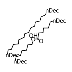 CCCCCCCCCCCCCCCCCC(O)CCCCCCCCCCCCCCCC.CCCCCCCCCCCCCCCCOC(=O)CCCCCCCCCCCCCCC